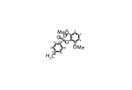 COc1cccc(OC)c1OS(=O)(=O)c1ccc(C)cc1